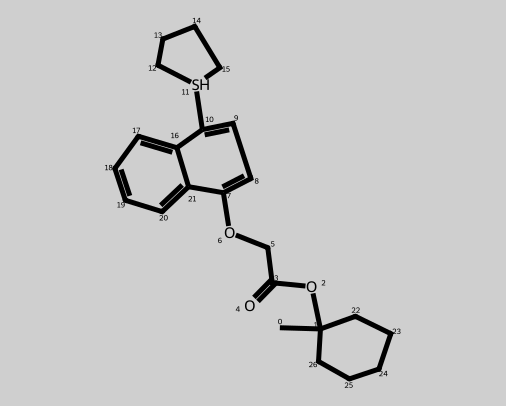 CC1(OC(=O)COc2ccc([SH]3CCCC3)c3ccccc23)CCCCC1